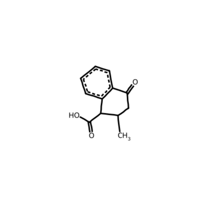 CC1CC(=O)c2ccccc2C1C(=O)O